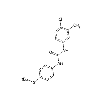 Cc1cc(NC(=O)Nc2ccc(SC(C)(C)C)cc2)ccc1Cl